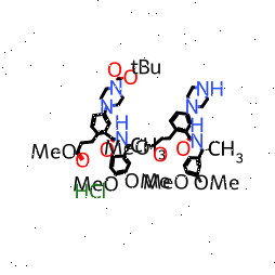 COC(=O)CCc1ccc(N2CCN(C(=O)OC(C)(C)C)CC2)cc1C(=O)N[C@H](C)c1ccc(OC)c(OC)c1.COC(=O)CCc1ccc(N2CCNCC2)cc1C(=O)N[C@H](C)c1ccc(OC)c(OC)c1.Cl